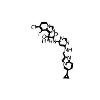 CC(O)(C(=O)Nc1cc(NCc2cn3cc(C4CC4)ccc3n2)ncn1)c1ncn2ccc(Cl)c(F)c12